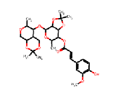 COc1cc(/C=C/C(=O)OC2C(C)OC(OC3C(C)OCC4OC(C)(C)OCC43)C3OC(C)(C)OC23)ccc1O